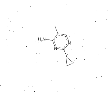 Cc1cnc(C2CC2)nc1N